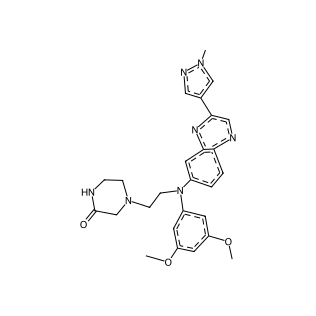 COc1cc(OC)cc(N(CCN2CCNC(=O)C2)c2ccc3ncc(-c4cnn(C)c4)nc3c2)c1